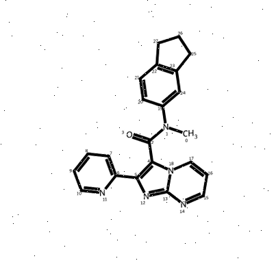 CN(C(=O)c1c(-c2ccccn2)nc2ncccn12)c1ccc2c(c1)CCC2